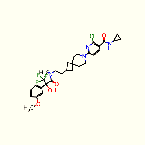 COc1cccc(C(O)(C(=O)N(C)CCC2CC3(CCN(c4ccc(C(=O)NC5CC5)c(Cl)n4)CC3)C2)C(F)(F)F)c1